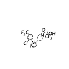 C[C@@](O)(C(=O)N1CCC(c2ccnn2-c2ccc(C(F)(F)F)cc2Cl)CC1)C(F)(F)F